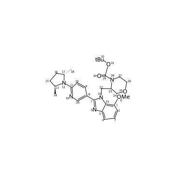 COc1cccc2nc(-c3ccc(N4[C@@H](C)CC[C@@H]4C)nc3)n(CC3COCCN3C(=O)OC(C)(C)C)c12